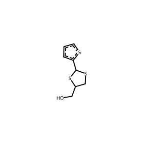 OCC1CSC(c2cccs2)S1